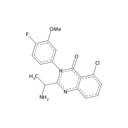 COc1cc(-n2c(C(C)N)nc3cccc(Cl)c3c2=O)ccc1F